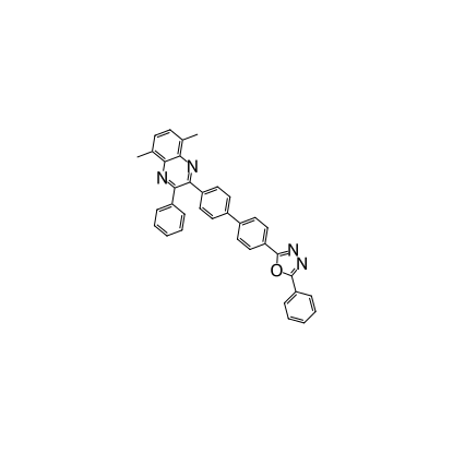 Cc1ccc(C)c2nc(-c3ccc(-c4ccc(-c5nnc(-c6ccccc6)o5)cc4)cc3)c(-c3ccccc3)nc12